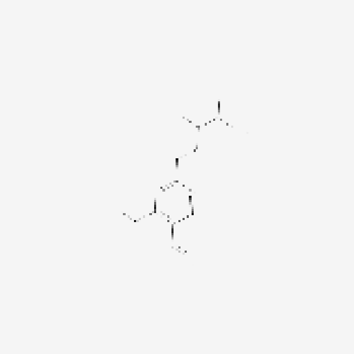 CCc1cc(CCC(N)C(C)C)ccc1[C]=O